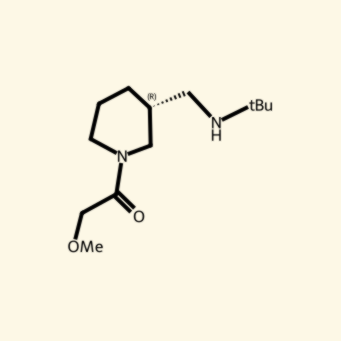 COCC(=O)N1CCC[C@H](CNC(C)(C)C)C1